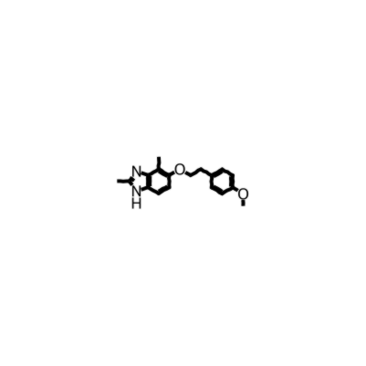 COc1ccc(CCOc2ccc3[nH]c(C)nc3c2C)cc1